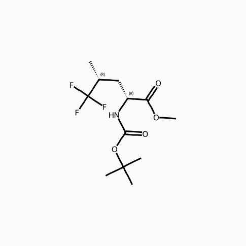 COC(=O)[C@@H](C[C@@H](C)C(F)(F)F)NC(=O)OC(C)(C)C